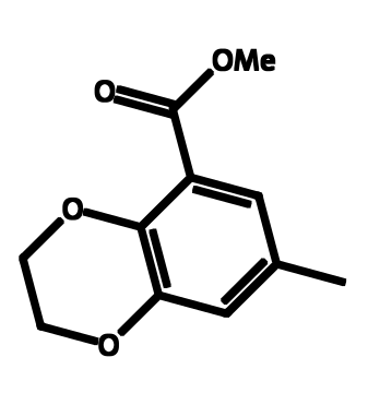 COC(=O)c1cc(C)cc2c1OCCO2